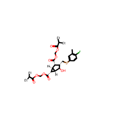 CCC(CC)C(=O)OCOC(=O)[C@@H]1[C@H](CSc2ccc(F)c(C)c2)[C@@H](O)[C@H]2[C@H](C(=O)OCOC(=O)C(CC)CC)[C@@H]12